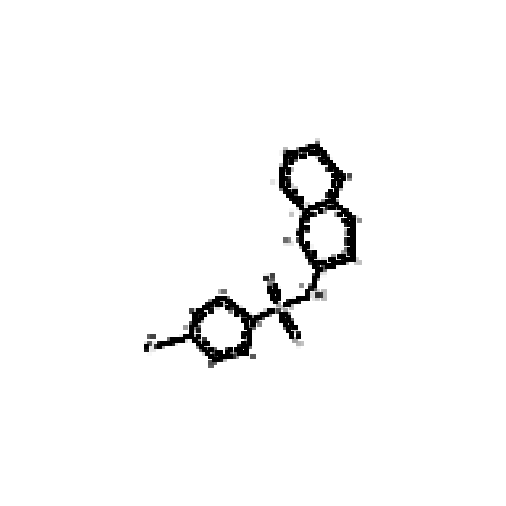 O=S(=O)(Nc1ccc2ccccc2n1)c1ccc(Cl)cc1